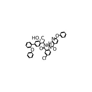 O=C(O)CC(NC(=O)c1cc(Cl)ccc1NC(=O)c1ccc(Oc2ccccc2)nc1)c1ccc(-c2ccccc2Oc2ccccc2)cc1